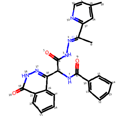 C/C(=N\NC(=O)C(NC(=O)c1ccccc1)c1n[nH]c(=O)c2ccccc12)c1cc(C)ccn1